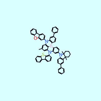 Cc1cc2c3c(c1)N(c1cccc4c1sc1ccccc14)c1cc(N4c5ccc(-c6ccccc6)cc5C5(C)CCCCC45C)ccc1B3c1ccc(-c3ccccc3)cc1N2c1ccc2c(c1)oc1ccccc12